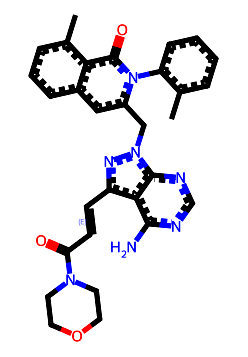 Cc1ccccc1-n1c(Cn2nc(/C=C/C(=O)N3CCOCC3)c3c(N)ncnc32)cc2cccc(C)c2c1=O